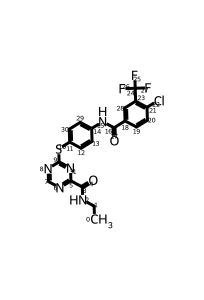 CCNC(=O)c1ncnc(Sc2ccc(NC(=O)c3ccc(Cl)c(C(F)(F)F)c3)cc2)n1